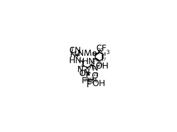 CN/C(=N\C#N)NCc1nonc1/C(=N/O)Nc1cccc(C(F)(F)F)c1.O=C(O)C(F)(F)F